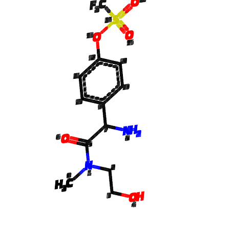 CN(CCO)C(=O)C(N)c1ccc(OS(=O)(=O)C(F)(F)F)cc1